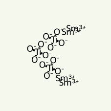 [O-][Ti]([O-])([O-])[O-].[O-][Ti]([O-])([O-])[O-].[O-][Ti]([O-])([O-])[O-].[Sm+3].[Sm+3].[Sm+3].[Sm+3]